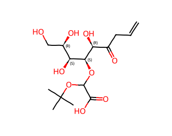 C=CCC(=O)[C@H](O)[C@@H](OC(OC(C)(C)C)C(=O)O)[C@@H](O)[C@H](O)CO